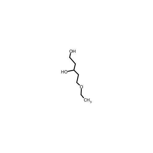 CCOCCC(O)CCO